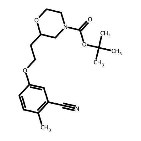 Cc1ccc(OCCC2CN(C(=O)OC(C)(C)C)CCO2)cc1C#N